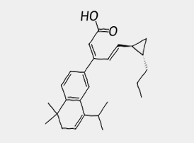 CCC[C@H]1C[C@@H]1/C=C/C(=C\C(=O)O)c1ccc2c(c1)C(C(C)C)=CCC2(C)C